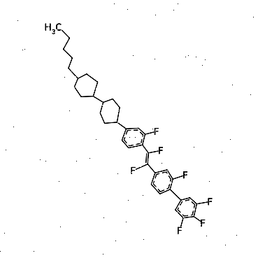 CCCCCC1CCC(C2CCC(c3ccc(/C(F)=C(\F)c4ccc(-c5cc(F)c(F)c(F)c5)c(F)c4)c(F)c3)CC2)CC1